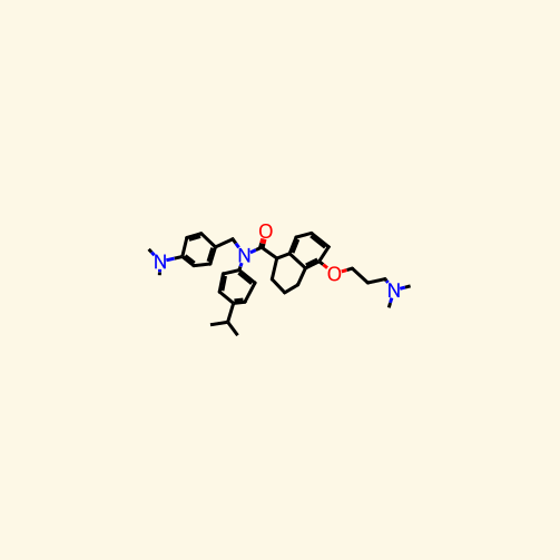 CC(C)c1ccc(N(Cc2ccc(N(C)C)cc2)C(=O)C2CCCc3c(OCCCN(C)C)cccc32)cc1